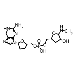 CNC1O[C@H](COP(=O)(O)OC[C@@H]2CC[C@H](n3cnc4c3N=C(N)NC4)O2)C[C@@H]1O